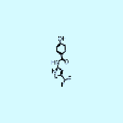 O=C(Nc1cc(C(F)F)on1)c1ccc(O)cc1